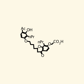 CCCc1c(OCCCCC2CC(=O)c3ccc(OCC(=O)O)c(CCC)c3O2)ccc(C(C)=O)c1O